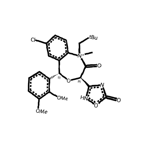 COc1cccc([C@H]2O[C@H](c3nc(=O)o[nH]3)C(=O)[N+](C)(CC(C)(C)C)c3ccc(Cl)cc32)c1OC